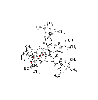 CCC[Si](CCC)(CCC)c1ccc(P(c2ccc([Si](CCC)(CCC)CCC)cc2)N(C2CCC(N(CC)CC)CC2)P(c2ccc([Si](CCC)(CCC)CCC)cc2)c2ccc([Si](CCC)(CCC)CCC)cc2)cc1